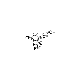 O=C(c1cc(Cl)ccc1NCCCO)C(F)(F)F